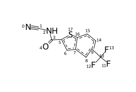 N#CNC(=O)c1cc2cc(C(F)(F)F)ccc2s1